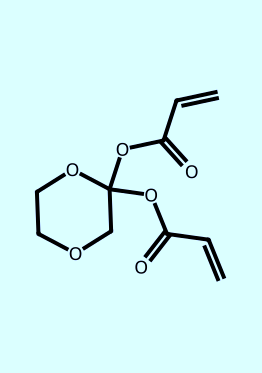 C=CC(=O)OC1(OC(=O)C=C)COCCO1